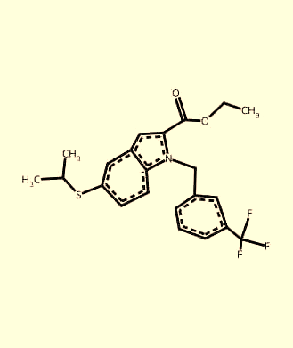 CCOC(=O)c1cc2cc(SC(C)C)ccc2n1Cc1cccc(C(F)(F)F)c1